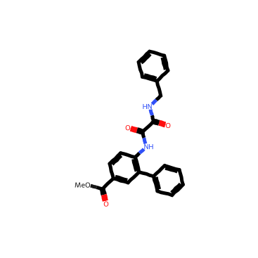 COC(=O)c1ccc(NC(=O)C(=O)NCc2ccccc2)c(-c2ccccc2)c1